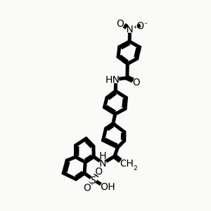 C=C(Nc1cccc2cccc(S(=O)(=O)O)c12)c1ccc(-c2ccc(NC(=O)c3ccc([N+](=O)[O-])cc3)cc2)cc1